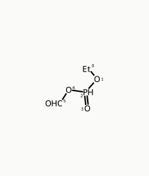 CCO[PH](=O)OC=O